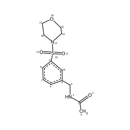 CC(=O)NCc1cccc(S(=O)(=O)N2CCOCC2)c1